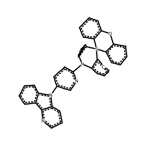 c1ccc2c(c1)Oc1ccccc1[Si]21c2ccccc2N(c2ccc(-n3c4ccccc4c4ncccc43)cn2)c2ccccc21